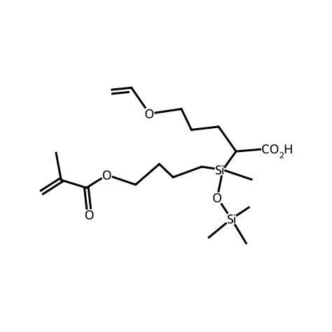 C=COCCCC(C(=O)O)[Si](C)(CCCCOC(=O)C(=C)C)O[Si](C)(C)C